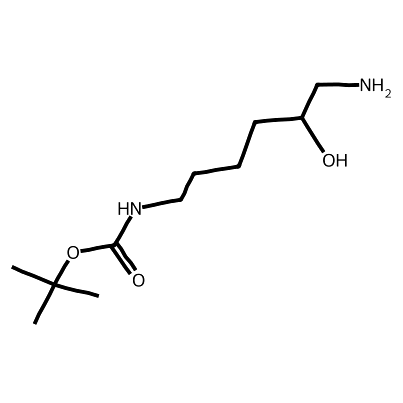 CC(C)(C)OC(=O)NCCCCC(O)CN